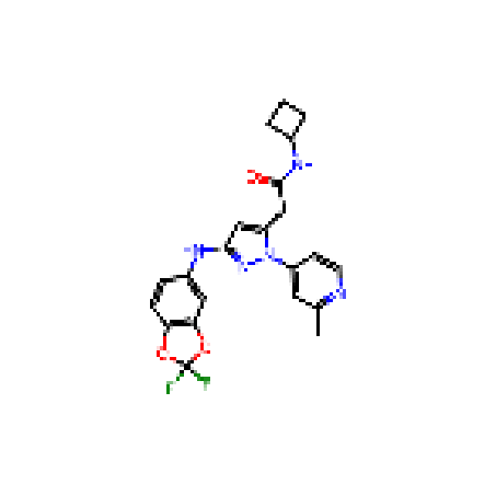 Cc1cc(-n2nc(Nc3ccc4c(c3)OC(F)(F)O4)cc2CC(=O)NC2CCC2)ccn1